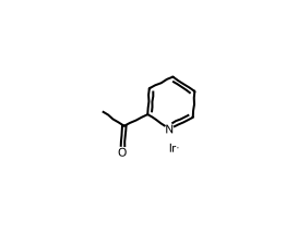 CC(=O)c1ccccn1.[Ir]